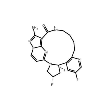 Nc1nn2ccc3nc2c1C(=O)NCCCCc1ncc(F)cc1[C@H]1C[C@H](F)CN31